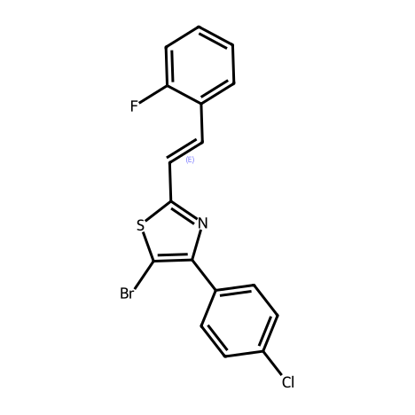 Fc1ccccc1/C=C/c1nc(-c2ccc(Cl)cc2)c(Br)s1